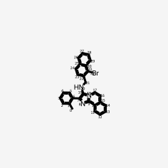 Cc1ccccc1-c1nc2c3ccccc3ccn2c1NCc1ccc2ccccc2c1Br